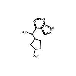 CN(c1ncnc2[nH]ccc12)N1CCC(C(=O)O)C1